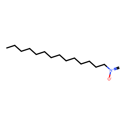 C=[N+]([O-])CCCCCCCCCCCCCC